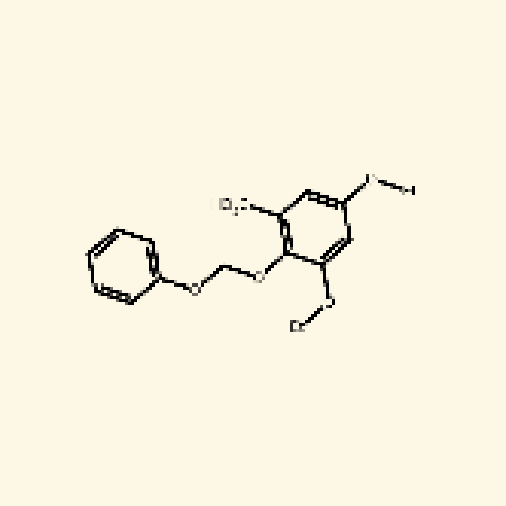 CCOc1cc(OCC)c(OCOc2ccccc2)c(C(=O)O)c1